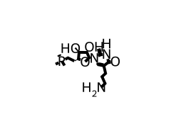 C=C1NC(=O)C(CCCN)=CN1[C@@H]1O[C@H](CCP(=C)(C)C)[C@@H](O)[C@H]1O